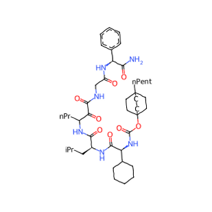 CCCCCC12CCC(OC(=O)N[C@H](C(=O)N[C@@H](CC(C)C)C(=O)NC(CCC)C(=O)C(=O)NCC(=O)N[C@H](C(N)=O)c3ccccc3)C3CCCCC3)(CC1)CC2